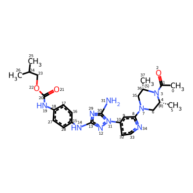 CC(=O)N1[C@H](C)CN(c2cc(-n3nc(Nc4ccc(NC(=O)OCC(C)C)cc4)nc3N)ccn2)C[C@@H]1C